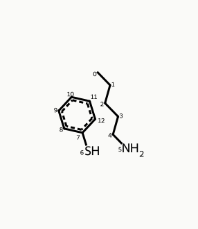 CCCCCN.Sc1ccccc1